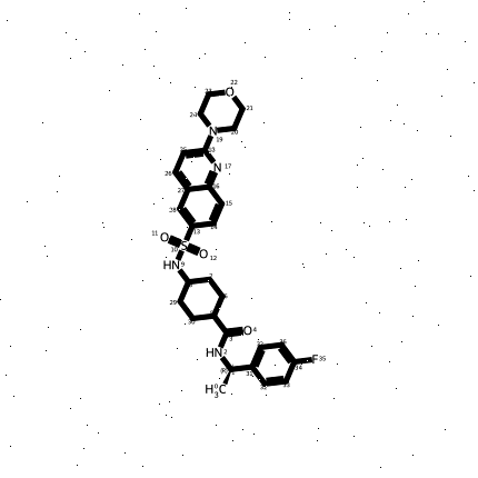 C[C@@H](NC(=O)C1CCC(NS(=O)(=O)c2ccc3nc(N4CCOCC4)ccc3c2)CC1)c1ccc(F)cc1